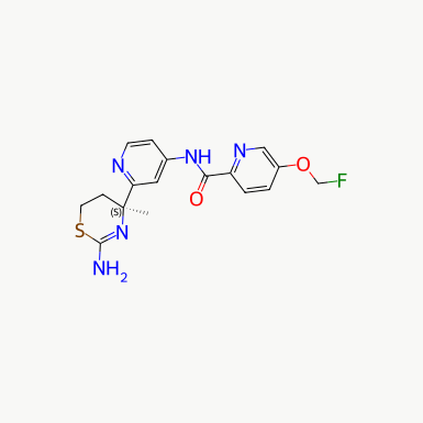 C[C@@]1(c2cc(NC(=O)c3ccc(OCF)cn3)ccn2)CCSC(N)=N1